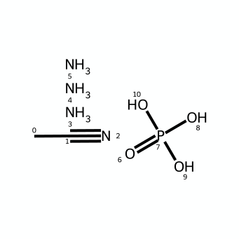 CC#N.N.N.N.O=P(O)(O)O